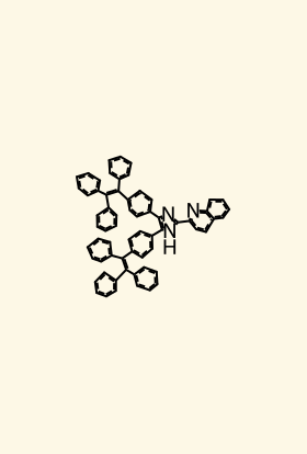 c1ccc(C(=C(c2ccccc2)c2ccc(-c3nc(-c4ccc5ccccc5n4)[nH]c3-c3ccc(C(=C(c4ccccc4)c4ccccc4)c4ccccc4)cc3)cc2)c2ccccc2)cc1